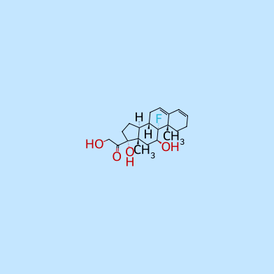 C[C@]12CCC=CC1=CC[C@H]1[C@@H]3CC[C@](O)(C(=O)CO)[C@@]3(C)C[C@H](O)[C@@]12F